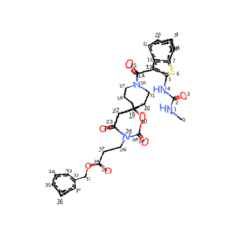 CNC(=O)Nc1sc2ccccc2c1C(=O)N1CCC2(CC1)CC(=O)N(CCC(=O)OCc1ccccc1)C(=O)O2